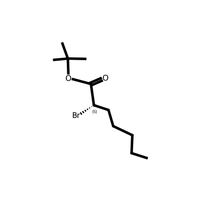 CCCCC[C@H](Br)C(=O)OC(C)(C)C